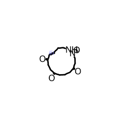 O=C1/C=C/CCN[N+](=O)CCC(=O)CCCC(=O)CC1